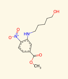 COC(=O)c1ccc([N+](=O)[O-])c(NCCCCCO)c1